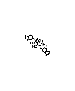 Cl.Cl.N[C@@H](Cc1ccc2c(c1)OCO2)[C@@H](O)[C@H](O)[C@@H](N)Cc1ccc2c(c1)OCO2